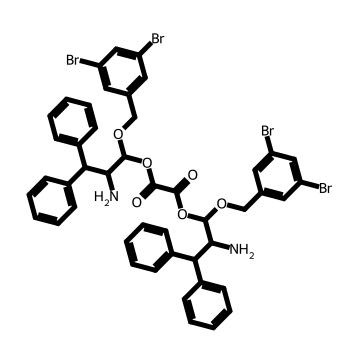 NC(C(OCc1cc(Br)cc(Br)c1)OC(=O)C(=O)OC(OCc1cc(Br)cc(Br)c1)C(N)C(c1ccccc1)c1ccccc1)C(c1ccccc1)c1ccccc1